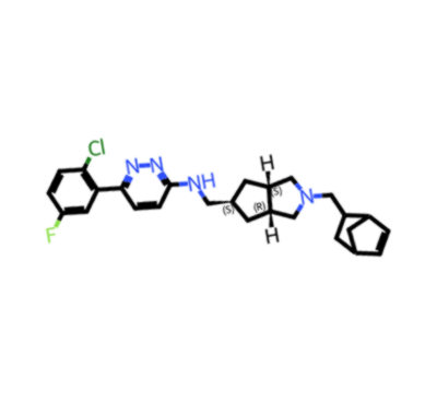 Fc1ccc(Cl)c(-c2ccc(NC[C@H]3C[C@@H]4CN(CC5CC6C=CC5C6)C[C@@H]4C3)nn2)c1